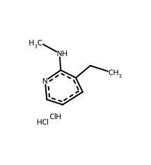 CCc1cccnc1NC.Cl.Cl